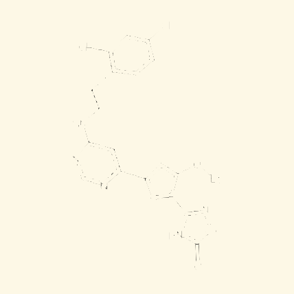 CCOc1cc(-c2cc(NCCc3ccc(Cl)cc3Cl)ncn2)sc1-c1noc(=O)[nH]1